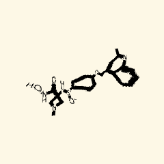 Cc1cc(COc2ccc([S+]([O-])NC3(C(=O)NO)CN(C)C3)cc2)c2ccccc2n1